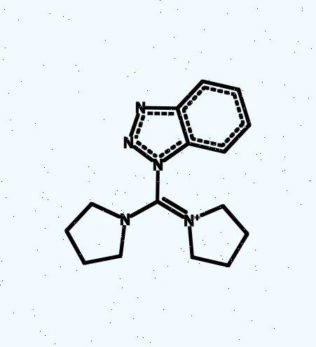 c1ccc2c(c1)nnn2C(N1CCCC1)=[N+]1CCCC1